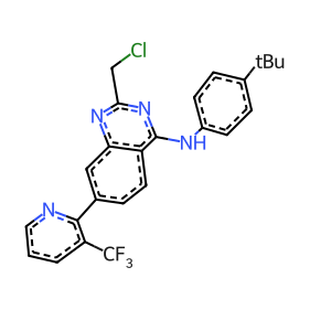 CC(C)(C)c1ccc(Nc2nc(CCl)nc3cc(-c4ncccc4C(F)(F)F)ccc23)cc1